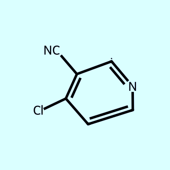 N#Cc1[c]nccc1Cl